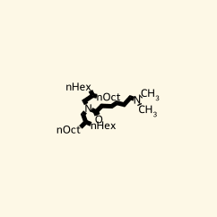 CCCCCCCCC(CCCCCC)CN(CC(CCCCCC)CCCCCCCC)C(=O)CCCCCN(C)C